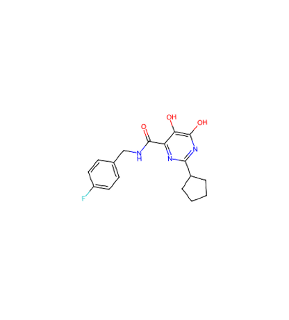 O=C(NCc1ccc(F)cc1)c1nc(C2CCCC2)nc(O)c1O